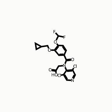 O=C(O)CN(C(=O)c1ccc(OC(F)F)c(OCC2CC2)c1)c1c(Cl)cncc1Cl